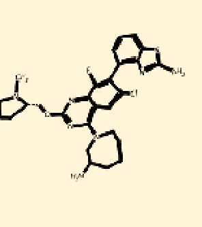 CN1CCC[C@H]1COc1nc(N2CCCCC(N)C2)c2cc(Cl)c(-c3cccc4sc(N)nc34)c(F)c2n1